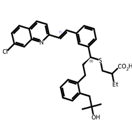 CCC(CS[C@@H](CCc1ccccc1CC(C)(C)O)c1cccc(/C=C/c2ccc3ccc(Cl)cc3n2)c1)C(=O)O